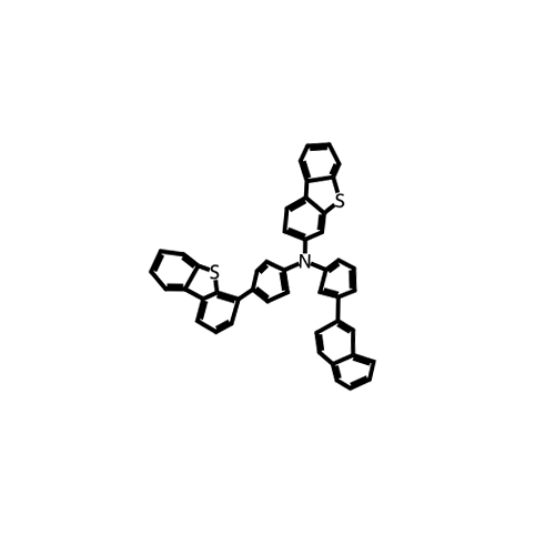 c1cc(-c2ccc3ccccc3c2)cc(N(c2ccc(-c3cccc4c3sc3ccccc34)cc2)c2ccc3c(c2)sc2ccccc23)c1